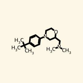 CN(C)CC1CN(c2ccc(C(C)(C)C)cc2)CCO1